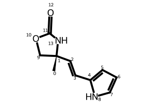 C[C@@]1(C=Cc2ccc[nH]2)COC(=O)N1